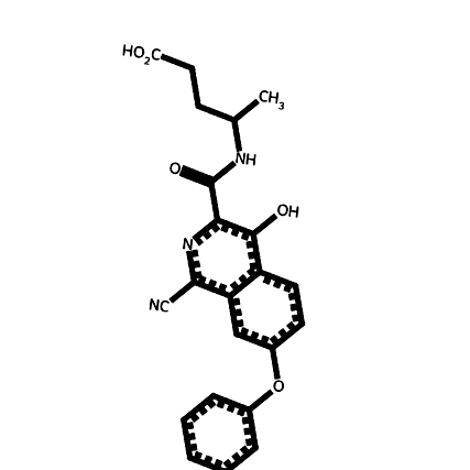 CC(CCC(=O)O)NC(=O)c1nc(C#N)c2cc(Oc3ccccc3)ccc2c1O